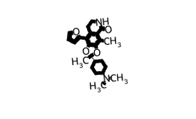 Cc1c2c(c(-c3ccco3)c3c1C(=O)NCC3)OC(C)([C@H]1CC[C@H](N(C)C)CC1)O2